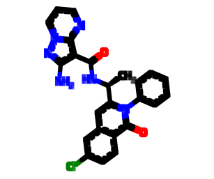 C[C@H](NC(=O)c1c(N)nn2cccnc12)c1cc2cc(Cl)ccc2c(=O)n1-c1ccccc1